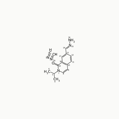 C#N.C#N.CC(C)n1ccc2ccc(C=NN)cc2c1=O